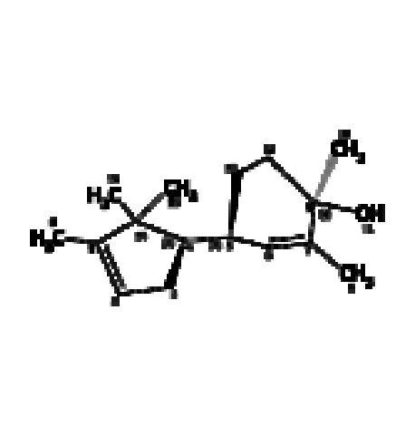 CC1=CC[C@H]([C@@H]2C=C(C)[C@](C)(O)CC2)C1(C)C